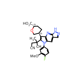 COc1cc(-n2c(C(C)(C)CC#N)c([C@@H]3CC[C@@H](C(=O)O)OC3)c3nc4[nH]ncc4cc32)ccc1F